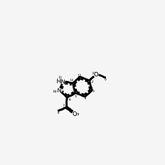 COc1ccc2c(C(C)=O)n[nH]c2c1